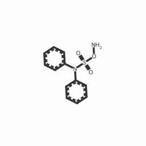 NOS(=O)(=O)N(c1ccccc1)c1ccccc1